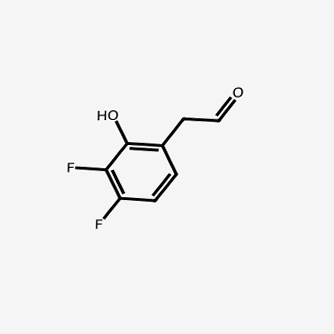 O=CCc1ccc(F)c(F)c1O